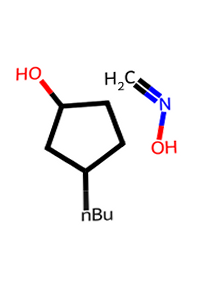 C=NO.CCCCC1CCC(O)C1